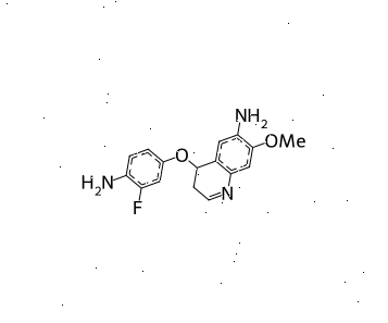 COc1cc2c(cc1N)C(Oc1ccc(N)c(F)c1)CC=N2